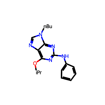 CCCCn1cnc2c(OC(C)C)nc(Nc3ccccc3)nc21